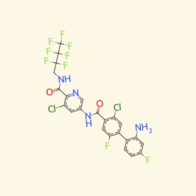 Nc1cc(F)ccc1-c1cc(Cl)c(C(=O)Nc2cnc(C(=O)NCC(F)(F)C(F)(F)C(F)(F)F)c(Cl)c2)cc1F